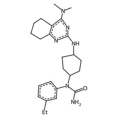 CCc1cccc(N(C(N)=O)C2CCC(Nc3nc4c(c(N(C)C)n3)CCCC4)CC2)c1